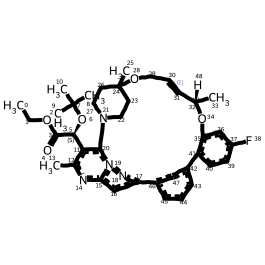 CCOC(=O)[C@@H](OC(C)(C)C)c1c(C)nc2cc3nn2c1N1CCC(C)(CC1)OC/C=C/[C@H](C)Oc1cc(F)ccc1-c1cccc-3c1